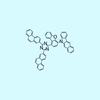 c1ccc2cc3c(cc2c1)c1ccccc1n3-c1ccc(-c2nc(-c3ccc4c(ccc5ccccc54)c3)nc(-c3ccc4c(ccc5ccccc54)c3)n2)c2c1oc1ccccc12